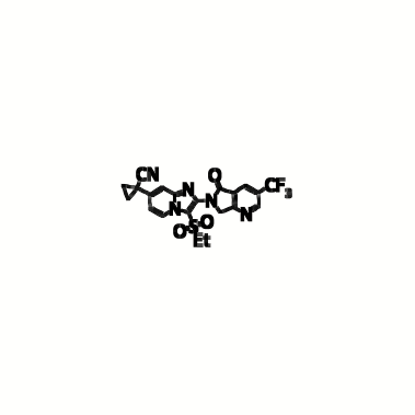 CCS(=O)(=O)c1c(N2Cc3ncc(C(F)(F)F)cc3C2=O)nc2cc(C3(C#N)CC3)ccn12